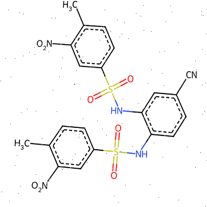 Cc1ccc(S(=O)(=O)Nc2ccc(C#N)cc2NS(=O)(=O)c2ccc(C)c([N+](=O)[O-])c2)cc1[N+](=O)[O-]